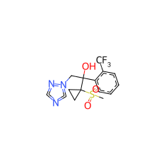 CS(=O)(=O)C1(C(O)(Cn2cncn2)c2ccccc2C(F)(F)F)CC1